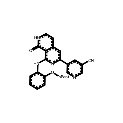 CCCCCOc1ccccc1Nc1nc(-c2cncc(C#N)c2)cc2cc[nH]c(=O)c12